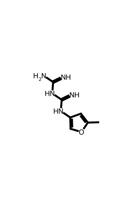 Cc1cc(NC(=N)NC(=N)N)co1